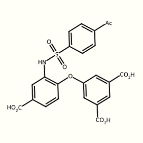 CC(=O)c1ccc(S(=O)(=O)Nc2cc(C(=O)O)ccc2Oc2cc(C(=O)O)cc(C(=O)O)c2)cc1